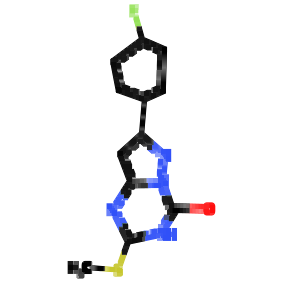 CSc1nc2cc(-c3ccc(F)cc3)nn2c(=O)[nH]1